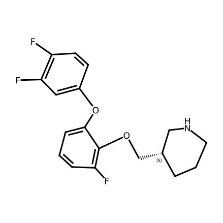 Fc1ccc(Oc2cccc(F)c2OC[C@H]2CCCNC2)cc1F